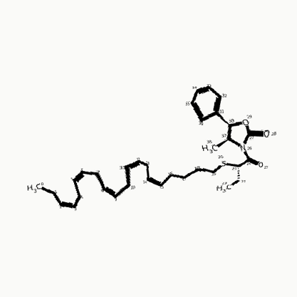 CC/C=C\C/C=C\C/C=C\C/C=C\C/C=C\CCCCS[C@@H](CC)C(=O)N1C(=O)O[C@H](c2ccccc2)[C@@H]1C